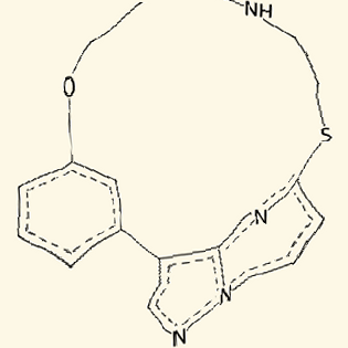 c1cc2cc(c1)-c1cnn3ccc(nc13)SCCNCCCO2